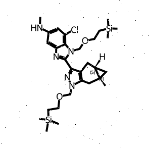 CNc1cc(Cl)c2c(c1)nc(-c1nn(COCC[Si](C)(C)C)c3c1C[C@@H]1C[C@]1(C)C3)n2COCC[Si](C)(C)C